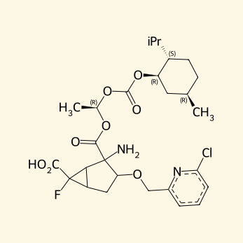 CC(C)[C@@H]1CC[C@@H](C)C[C@H]1OC(=O)O[C@H](C)OC(=O)C1(N)C(OCc2cccc(Cl)n2)CC2C1C2(F)C(=O)O